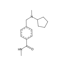 CNC(=O)c1ccc(CN(C)C2CCCC2)cc1